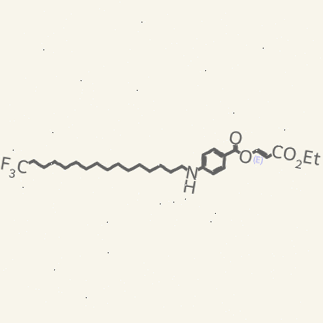 CCOC(=O)/C=C/OC(=O)c1ccc(NCCCCCCCCCCCCCCCC(F)(F)F)cc1